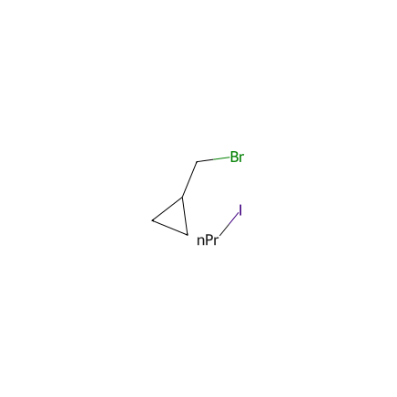 BrCC1CC1.CCCI